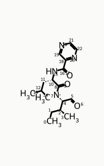 CC[C@H](C)[C@@H](C=O)[N]C(=O)[C@H](CC(C)C)NC(=O)c1cnccn1